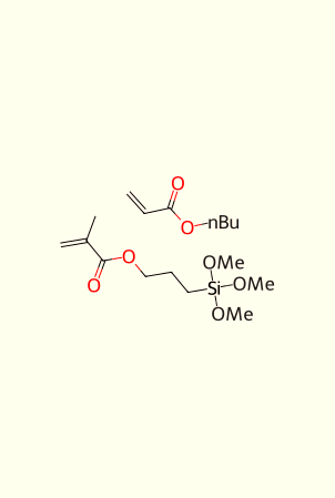 C=C(C)C(=O)OCCC[Si](OC)(OC)OC.C=CC(=O)OCCCC